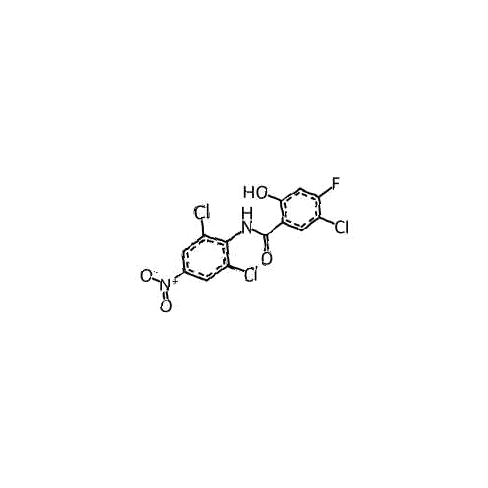 O=C(Nc1c(Cl)cc([N+](=O)[O-])cc1Cl)c1cc(Cl)c(F)cc1O